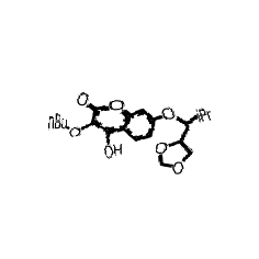 CCCCOc1c(O)c2ccc(OC(C(C)C)C3COCO3)cc2oc1=O